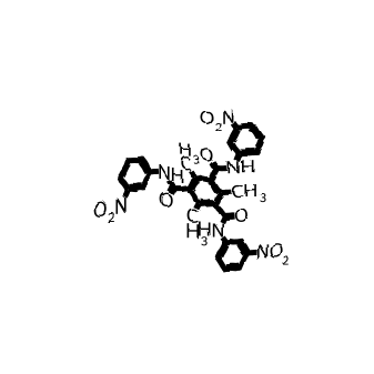 Cc1c(C(=O)Nc2cccc([N+](=O)[O-])c2)c(C)c(C(=O)Nc2cccc([N+](=O)[O-])c2)c(C)c1C(=O)Nc1cccc([N+](=O)[O-])c1